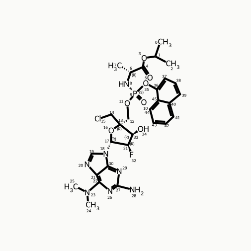 CC(C)OC(=O)[C@@H](C)N[P@](=O)(OC[C@@]1(CCl)O[C@@H](n2cnc3c(N(C)C)nc(N)nc32)[C@H](F)[C@@H]1O)Oc1cccc2ccccc12